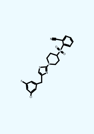 N#Cc1ccccc1S(=O)(=O)C1CCN(c2nc(Cc3cc(F)cc(Cl)c3)cs2)CC1